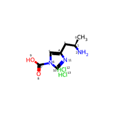 C[C@@H](N)Cc1cn(C(=O)O)cn1.Cl.Cl